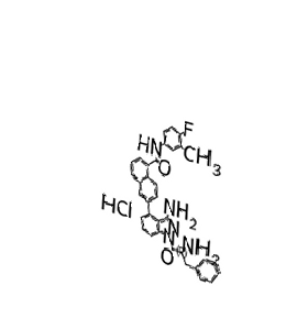 Cc1cc(NC(=O)c2cccc3cc(-c4cccc5c4c(N)nn5C(=O)[C@H](N)Cc4ccccc4)ccc23)ccc1F.Cl